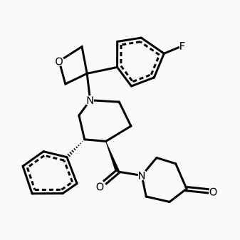 O=C1CCN(C(=O)[C@@H]2CCN(C3(c4ccc(F)cc4)COC3)C[C@H]2c2ccccc2)CC1